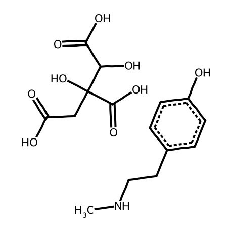 CNCCc1ccc(O)cc1.O=C(O)CC(O)(C(=O)O)C(O)C(=O)O